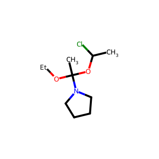 CCOC(C)(OC(C)Cl)N1CCCC1